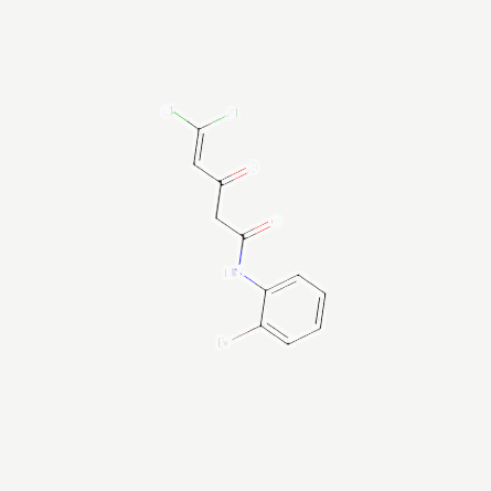 O=C(C=C(Cl)Cl)CC(=O)Nc1ccccc1Br